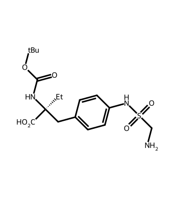 CC[C@@](Cc1ccc(NS(=O)(=O)CN)cc1)(NC(=O)OC(C)(C)C)C(=O)O